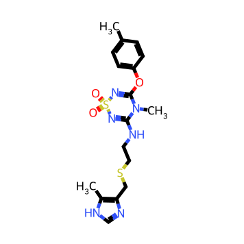 Cc1ccc(OC2=NS(=O)(=O)N=C(NCCSCc3nc[nH]c3C)N2C)cc1